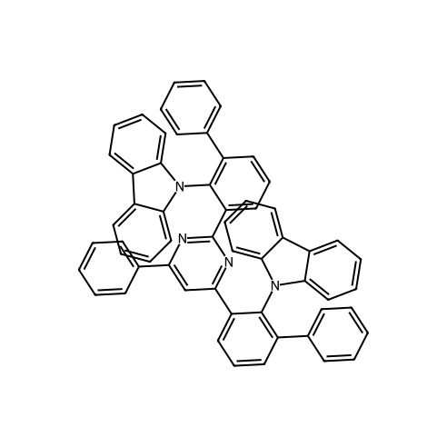 c1ccc(-c2cc(-c3cccc(-c4ccccc4)c3-n3c4ccccc4c4ccccc43)nc(-c3cccc(-c4ccccc4)c3-n3c4ccccc4c4ccccc43)n2)cc1